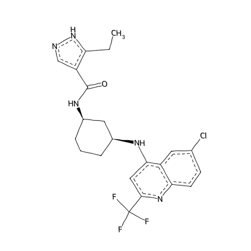 CCc1[nH]ncc1C(=O)N[C@@H]1CCC[C@H](Nc2cc(C(F)(F)F)nc3ccc(Cl)cc23)C1